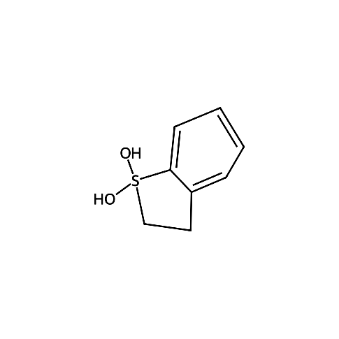 OS1(O)CCc2ccccc21